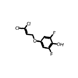 Oc1c(F)cc(OCC=C(Cl)Cl)cc1F